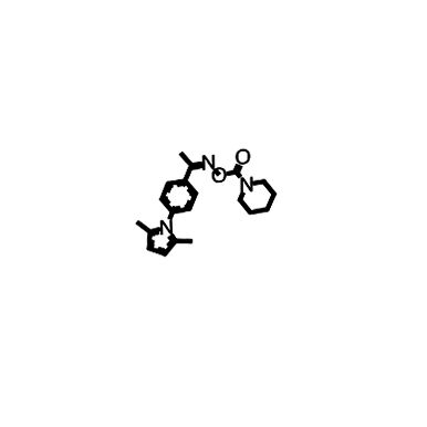 CC(=NOC(=O)N1CCCCC1)c1ccc(-n2c(C)ccc2C)cc1